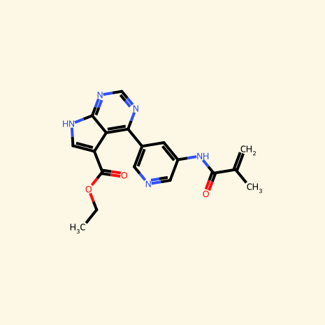 C=C(C)C(=O)Nc1cncc(-c2ncnc3[nH]cc(C(=O)OCC)c23)c1